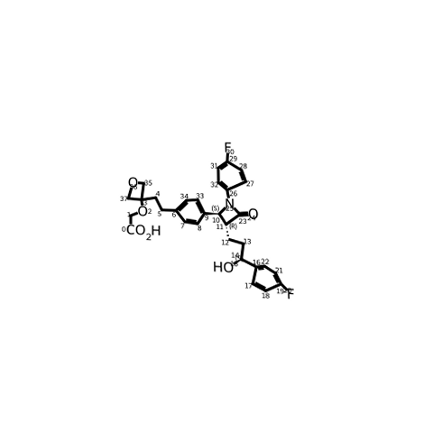 O=C(O)COC1(CCc2ccc([C@@H]3[C@@H](CC[C@H](O)c4ccc(F)cc4)C(=O)N3c3ccc(F)cc3)cc2)COC1